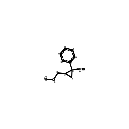 [3H]OC[C@@H]1C[C@@]1(C=O)c1ccccc1